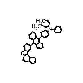 C=Cc1c(/C=C\C)n(-c2ccccc2)c2ccc(-c3c4ccccc4c(-c4ccc5oc6ccc7ccccc7c6c5c4)c4ccccc34)cc12